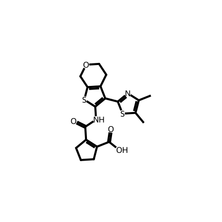 Cc1nc(-c2c(NC(=O)C3=C(C(=O)O)CCC3)sc3c2CCOC3)sc1C